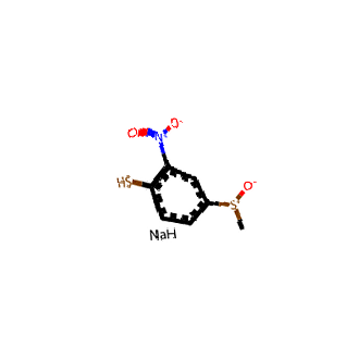 C[S+]([O-])c1ccc(S)c([N+](=O)[O-])c1.[NaH]